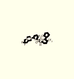 Cc1ccccc1-c1nc(NS(=O)(=O)c2cccc(N3CCN4CC(F)(F)CC4C3)n2)ccc1C(F)(F)F